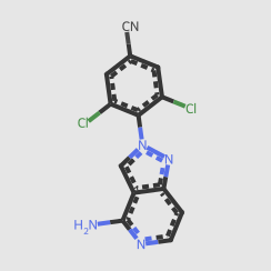 N#Cc1cc(Cl)c(-n2cc3c(N)nccc3n2)c(Cl)c1